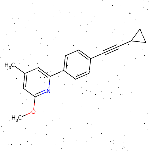 COc1cc(C)cc(-c2ccc(C#CC3CC3)cc2)n1